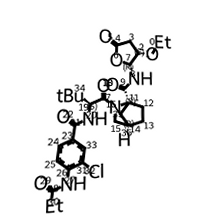 CCO[C@H]1CC(=O)O[C@H]1NC(=O)[C@@]12CC[C@@H](CN1C(=O)[C@@H](NC(=O)c1ccc(NC(=O)CC)c(Cl)c1)C(C)(C)C)C2